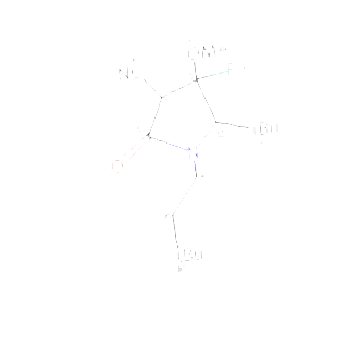 COC1(F)C(C#N)C(=O)N(CCC(C)(C)C)C1C(C)(C)C